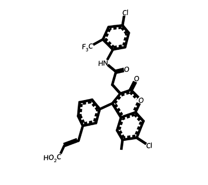 Cc1cc2c(-c3cccc(C=CC(=O)O)c3)c(CC(=O)Nc3ccc(Cl)cc3C(F)(F)F)c(=O)oc2cc1Cl